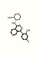 Oc1cc(F)ccc1-c1nnc(N[C@H]2CCCC[C@@H]2O)c2ccncc12